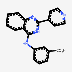 O=C(O)c1cccc(Nc2nc(-c3ccncc3)nc3ccccc23)c1